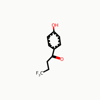 O=C(CCC(F)(F)F)c1ccc(O)cc1